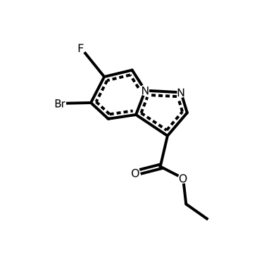 CCOC(=O)c1cnn2cc(F)c(Br)cc12